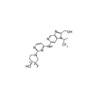 CC(n1c(CO)nc2cnc(Nc3ccnc(N4CC[C@H](O)[C@H](F)C4)n3)cc21)C(F)(F)F